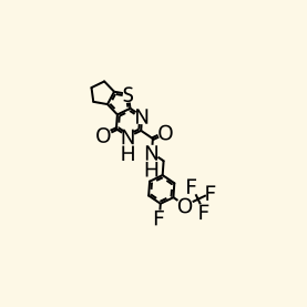 O=C(NCc1ccc(F)c(OC(F)(F)F)c1)c1nc2sc3c(c2c(=O)[nH]1)CCC3